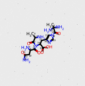 CC(N)C(=O)N(C(=O)C(N)CC(N)=O)C(Cc1cn(C(=O)C(C)(N)N)cn1)C(=O)O